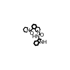 O=C(Nc1c[nH]c2ccccc12)N1CCc2cccc(C(=O)N3CCCCC3)c2C1